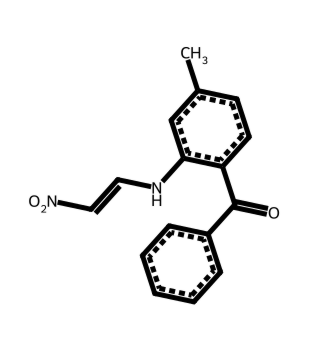 Cc1ccc(C(=O)c2ccccc2)c(NC=C[N+](=O)[O-])c1